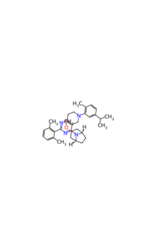 CO[C@H]1C[C@H]2CC[C@@H](C1)N2c1nc(-c2c(C)cccc2C)nc2c1CN(c1cc(C(C)C)ccc1C)CC2